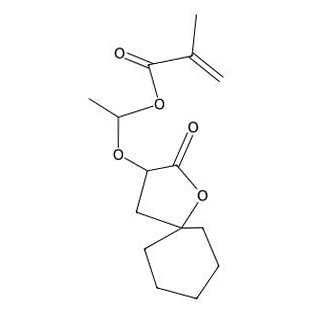 C=C(C)C(=O)OC(C)OC1CC2(CCCCC2)OC1=O